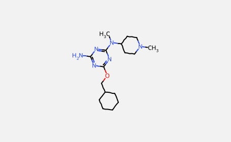 CN1CCC(N(C)c2nc(N)nc(OCC3CCCCC3)n2)CC1